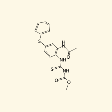 COC(=O)NC(=S)Nc1ccc(Sc2ccccc2)cc1NC(C)=O